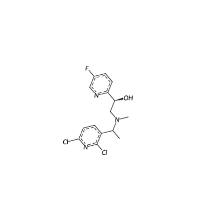 CC(c1ccc(Cl)nc1Cl)N(C)C[C@H](O)c1ccc(F)cn1